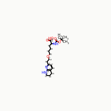 CC(C)(C)OC(=O)NC(CCCCOCCc1ccc2c(n1)NCCC2)C(=O)O